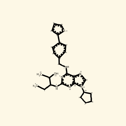 CCC(Nc1nc(NCc2ccc(-c3cccs3)cc2)c2ncn(C3CCCC3)c2n1)C(C)O